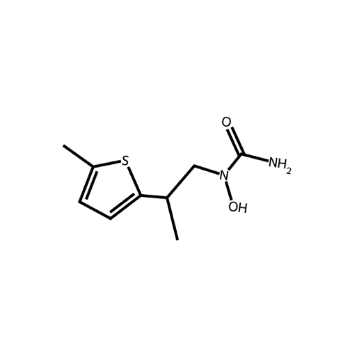 Cc1ccc(C(C)CN(O)C(N)=O)s1